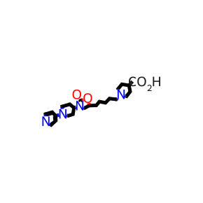 O=C(O)C1CCN(CCCCCC2CN(C3CCN(c4ccncc4)CC3)C(=O)O2)CC1